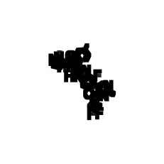 Cc1ncc(-c2ccc3[nH]c([C@@H](NC(=O)c4ccnn4C)[C@H]4CC[C@H](C)CC4)nc3c2F)c(C(=O)N2CC(F)(F)C2)n1